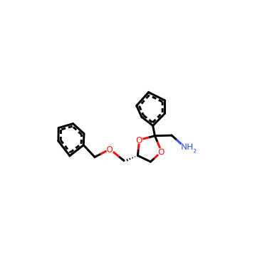 NCC1(c2ccccc2)OC[C@H](COCc2ccccc2)O1